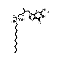 CCCCCCCCCCNP(=O)(O)COC(C)Cn1cnc2c(=O)[nH]c(N)nc21